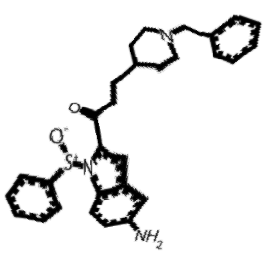 Nc1ccc2c(c1)cc(C(=O)CCC1CCN(Cc3ccccc3)CC1)n2[S+]([O-])c1ccccc1